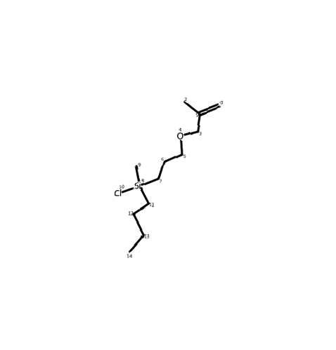 C=C(C)COCCC[Si](C)(Cl)CCCC